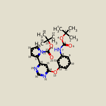 CC(C)(C)OC(=O)Nc1cccc(Oc2cc(-c3cccn3C(=O)OC(C)(C)C)ncn2)c1